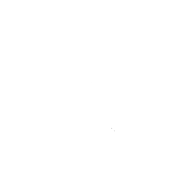 [CH2]CCOCCCN